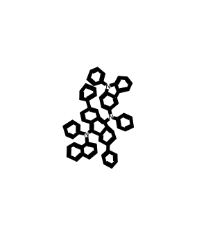 c1ccc(-c2ccc3c(N(c4ccccc4)c4cccc5ccccc45)c4cc(-c5ccccc5)ccc4c(N(c4ccccc4)c4ccc5c(c4)c4ccccc4n5-c4ccccc4)c3c2)cc1